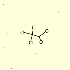 [O]C([O])C(Cl)(Cl)Cl